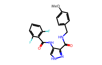 COc1ccc(CNC(=O)c2n[nH]cc2NC(=O)c2c(F)cccc2F)cc1